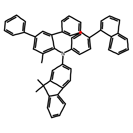 Cc1cc(-c2ccccc2)cc(-c2ccccc2)c1N(c1ccc(-c2cccc3ccccc23)cc1)c1ccc2c(c1)C(C)(C)c1ccccc1-2